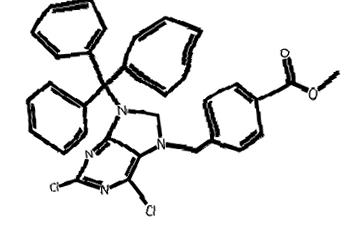 COC(=O)c1ccc(CN2CN(C(c3ccccc3)(c3ccccc3)c3ccccc3)c3nc(Cl)nc(Cl)c32)cc1